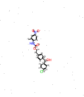 Cc1cc([N+](=O)[O-])ccc1NC(=O)OCCc1ccc(B(O)c2ccc(Cl)cc2)cc1